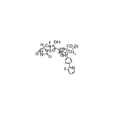 CCOC(=O)[C@H](C)N[PH](O)(OC[C@H]1O[C@@H](n2ccc(=O)[nH]c2=O)[C@](C)(F)[C@@H]1O)Oc1ccc(-c2ncccc2F)cc1